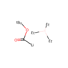 CCB(CC)CC.[Li][C](=O)OC(C)(C)C